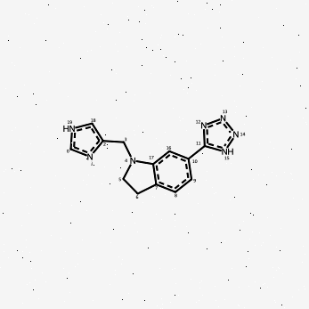 c1nc(CN2CCc3ccc(-c4nnn[nH]4)cc32)c[nH]1